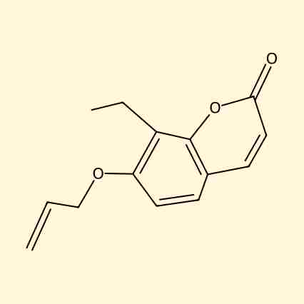 C=CCOc1ccc2ccc(=O)oc2c1CC